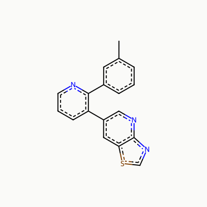 Cc1cccc(-c2ncccc2-c2cnc3ncsc3c2)c1